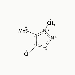 CSc1c(Cl)cnn1C